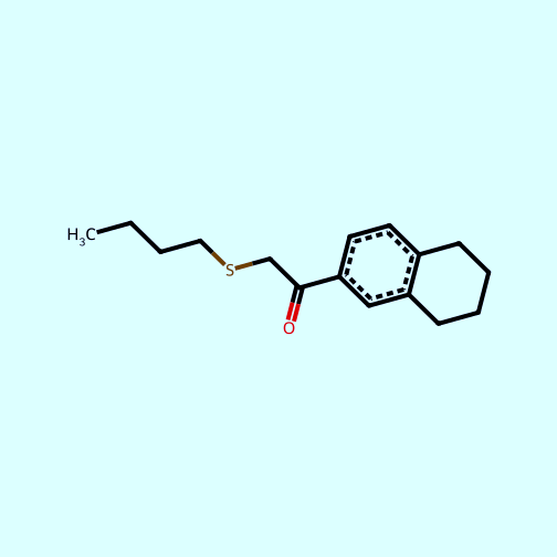 CCCCSCC(=O)c1ccc2c(c1)CCCC2